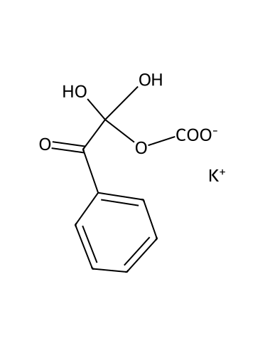 O=C([O-])OC(O)(O)C(=O)c1ccccc1.[K+]